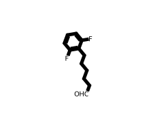 O=CCCCCCc1c(F)cccc1F